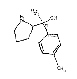 Cc1ccc([C@](C)(O)C2CCCN2)cc1